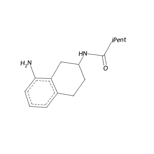 CCCC(C)C(=O)NC1CCc2cccc(N)c2C1